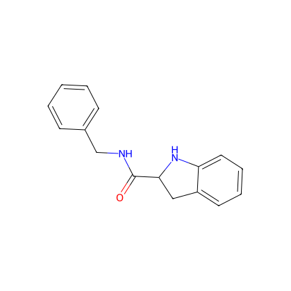 O=C(NCc1ccccc1)C1Cc2ccccc2N1